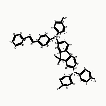 Cc1ccc(N(c2ccc(C)cc2)c2ccc3c(c2)C(C)(C)c2cc(N(c4ccc(C)cc4)c4ccc(/C=C/c5ccccc5)cc4)ccc2-3)cc1